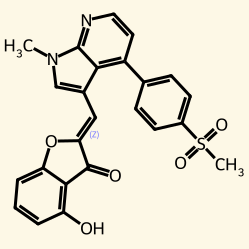 Cn1cc(/C=C2\Oc3cccc(O)c3C2=O)c2c(-c3ccc(S(C)(=O)=O)cc3)ccnc21